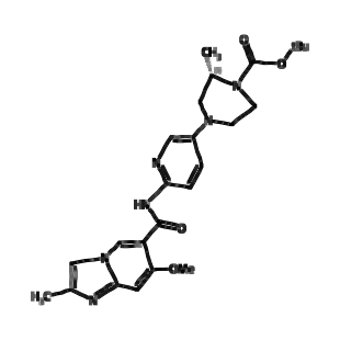 COc1cc2nc(C)cn2cc1C(=O)Nc1ccc(N2CCN(C(=O)OC(C)(C)C)[C@@H](C)C2)cn1